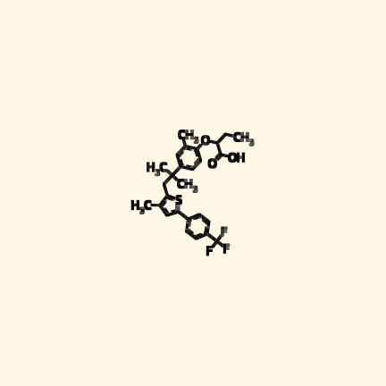 CCC(Oc1ccc(C(C)(C)Cc2sc(-c3ccc(C(F)(F)F)cc3)cc2C)cc1C)C(=O)O